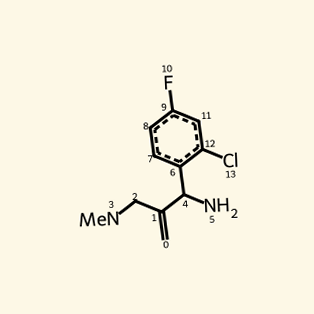 C=C(CNC)C(N)c1ccc(F)cc1Cl